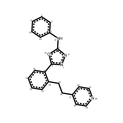 c1ccc(Nc2nnc(-c3ccccc3CCc3ccncc3)o2)cc1